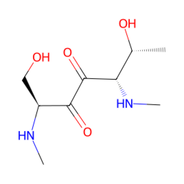 CN[C@@H](CO)C(=O)C(=O)[C@@H](NC)[C@@H](C)O